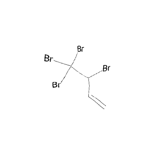 C=CC(Br)C(Br)(Br)Br